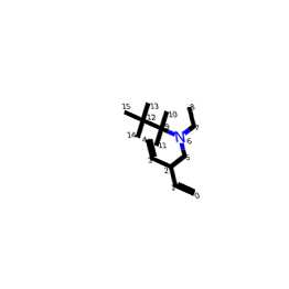 C=CC(C=C)CN(CC)C(C)(C)C(C)(C)C